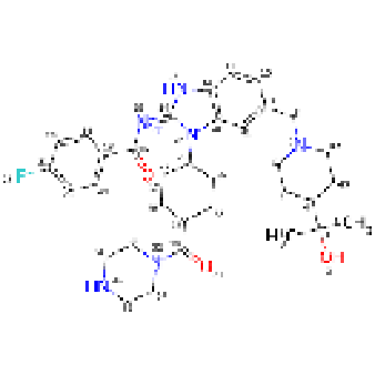 CC(C)(O)C1CCN(Cc2ccc3[nH]/c(=N/C(=O)c4ccc(F)cc4)n(C4CCC(C(=O)N5CCNCC5)CC4)c3c2)CC1